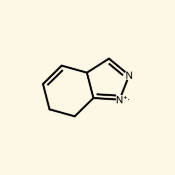 C1=CC2C=N[N+]=C2CC1